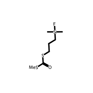 CSC(=O)SCCC[Si](C)(C)F